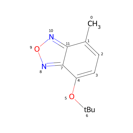 Cc1ccc(OC(C)(C)C)c2nonc12